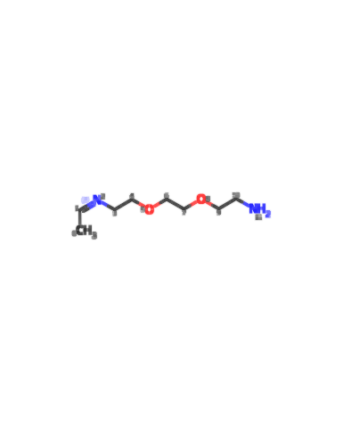 C/C=N\CCOCCOCCN